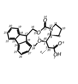 CO[C@H]([C@@H](C)C(=O)O)[C@@H]1CCCN1C(=O)OCC1c2ccccc2-c2ccccc21